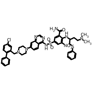 CN(C)CCC(CSc1ccccc1)Nc1c(C(N)=O)cc(S(=O)(=O)Nc2ncnc3cc(N4CCN(Cc5cc(Cl)ccc5-c5ccccc5)CC4)ccc23)cc1[N+](=O)[O-]